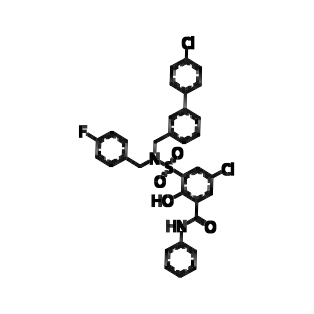 O=C(Nc1ccccc1)c1cc(Cl)cc(S(=O)(=O)N(Cc2ccc(F)cc2)Cc2cccc(-c3ccc(Cl)cc3)c2)c1O